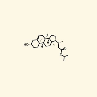 CC(C)OC(=O)C[C@@H](C)[C@H]1CC[C@H]2[C@@H]3CC=C4C[C@@H](O)CC[C@]4(C)[C@H]3CC[C@]12C